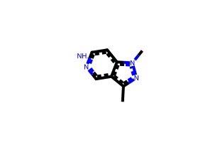 Cc1nn(C)c2ccncc12.N